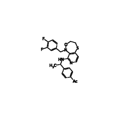 CC(=O)c1ccc(C(C)Nc2nccc3c2N(Cc2ccc(F)c(F)c2)OCCS3)cc1